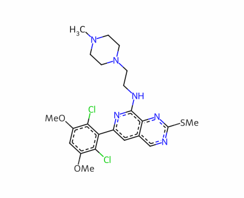 COc1cc(OC)c(Cl)c(-c2cc3cnc(SC)nc3c(NCCN3CCN(C)CC3)n2)c1Cl